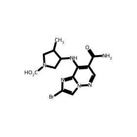 CC1CN(C(=O)O)CC1Nc1c(C(N)=O)cnn2cc(Br)nc12